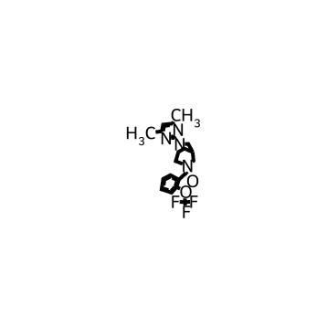 Cc1cc(C)nc(N2CC3CC2CN(C(=O)c2ccccc2OC(F)(F)F)C3)n1